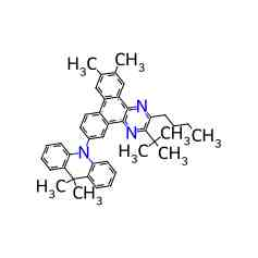 CCCCc1nc2c3cc(C)c(C)cc3c3ccc(N4c5ccccc5C(C)(C)c5ccccc54)cc3c2nc1C(C)(C)C